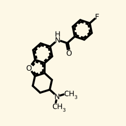 CN(C)C1CCc2oc3ccc(NC(=O)c4ccc(F)cc4)cc3c2C1